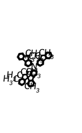 Cc1ccc(C)c2c1C(C)(C)C(C)C21c2ccccc2-c2ccc(N(c3ccc4c(c3)C(C)(C)c3ccccc3-4)c3ccc4c(c3)C(C)(C)c3ccccc3-4)cc21